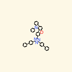 c1ccc(-c2ccc(-c3nc(-c4ccc(-c5ccccc5)cc4)nc(-c4ccc5c(c4)oc4ccc6c7ccccc7n(-c7ccccc7)c6c45)n3)cc2)cc1